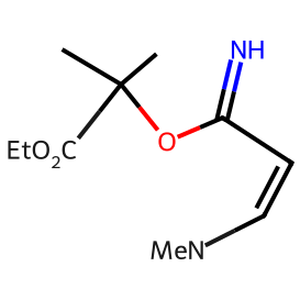 CCOC(=O)C(C)(C)OC(=N)/C=C\NC